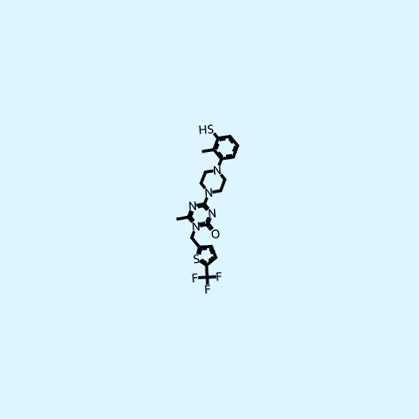 Cc1c(S)cccc1N1CCN(c2nc(C)n(Cc3ccc(C(F)(F)F)s3)c(=O)n2)CC1